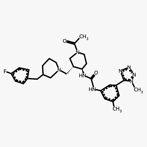 CC(=O)N1CC[C@@H](NC(=O)Nc2cc(C)cc(-c3nnnn3C)c2)[C@H](CN2CCCC(Cc3ccc(F)cc3)C2)C1